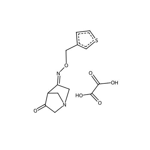 O=C(O)C(=O)O.O=C1CN2CC(=NOCc3ccsc3)C1C2